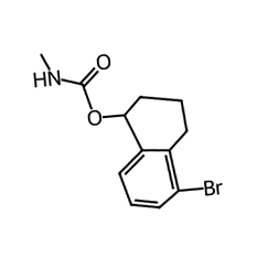 CNC(=O)OC1CCCc2c(Br)cccc21